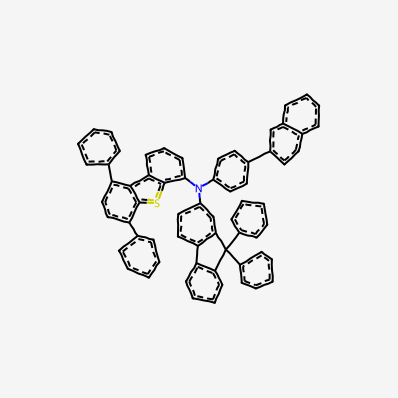 c1ccc(-c2ccc(-c3ccccc3)c3c2sc2c(N(c4ccc(-c5ccc6ccccc6c5)cc4)c4ccc5c(c4)C(c4ccccc4)(c4ccccc4)c4ccccc4-5)cccc23)cc1